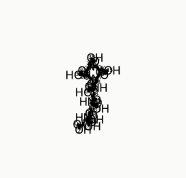 O=C(O)CC[C@H](NP(=O)(O)OCC[C@H](NC(=O)CC[C@H](NC(=O)CN1CCN(CC(=O)O)CCN(CC(=O)O)CCN(CC(=O)O)CC1)C(=O)O)C(=O)O)C(=O)O